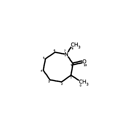 CC1CCCCCN(C)C1=O